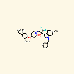 CCOC(=O)Cc1ccc(OC2CCN(CC(O)(c3cn(Cc4ccccc4)c4cc(C#N)ccc34)C(F)F)CC2)c(OC)c1